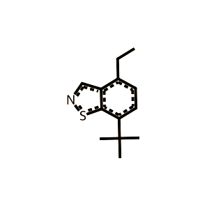 CCc1ccc(C(C)(C)C)c2sncc12